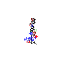 C[C@@H](CO)NC(NN)NC[C@H](NC(=O)c1c(Cl)cc2c(c1Cl)CCN(C(=O)c1ccc3ccoc3c1)C2)C(=O)O